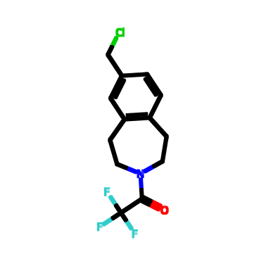 O=C(N1CCc2ccc(CCl)cc2CC1)C(F)(F)F